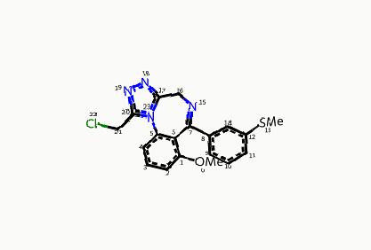 COc1cccc2c1C(c1cccc(SC)c1)=NCc1nnc(CCl)n1-2